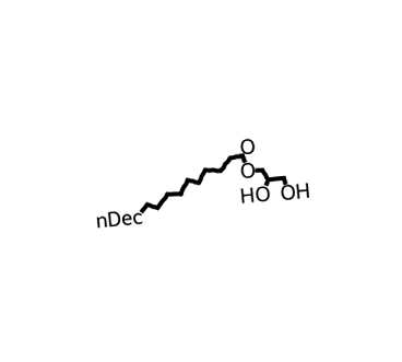 CCCCCCCCCCCCCCCCCCCC(=O)OCC(O)CO